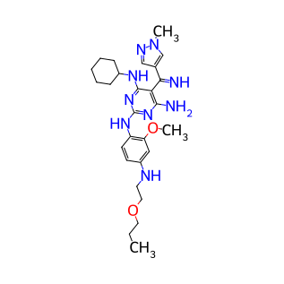 CCCOCCNc1ccc(Nc2nc(N)c(C(=N)c3cnn(C)c3)c(NC3CCCCC3)n2)c(OC)c1